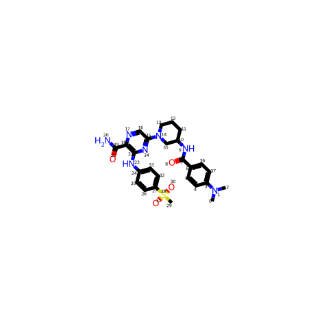 CN(C)c1ccc(C(=O)NC2CCCN(c3cnc(C(N)=O)c(Nc4ccc(S(C)(=O)=O)cc4)n3)C2)cc1